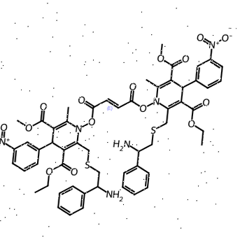 CCOC(=O)C1=C(CSCC(N)c2ccccc2)N(OC(=O)/C=C/C(=O)ON2C(C)=C(C(=O)OC)C(c3cccc([N+](=O)[O-])c3)C(C(=O)OCC)=C2CSCC(N)c2ccccc2)C(C)=C(C(=O)OC)C1c1cccc([N+](=O)[O-])c1